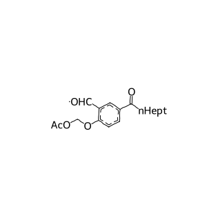 CCCCCCCC(=O)c1ccc(OCOC(C)=O)c([C]=O)c1